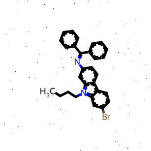 CCCCn1c2cc(Br)ccc2c2ccc(N=C(c3ccccc3)c3ccccc3)cc21